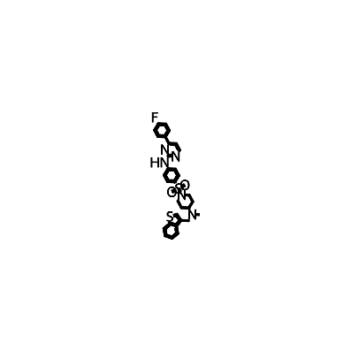 CN(Cc1csc2ccccc12)C1CCN(S(=O)(=O)c2ccc(Nc3nccc(-c4ccc(F)cc4)n3)cc2)CC1